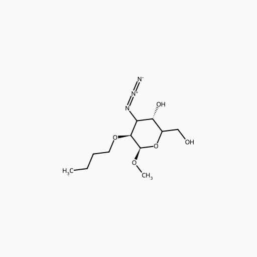 CCCCO[C@H]1C(N=[N+]=[N-])[C@H](O)C(CO)O[C@H]1OC